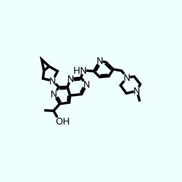 CC(O)c1cc2cnc(Nc3ccc(CN4CCN(C)CC4)cn3)nc2c(N2CC3CC3C2)n1